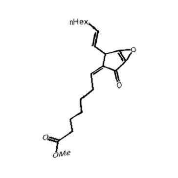 CCCCCCC=CC1C(=CCCCCCC(=O)OC)C(=O)C2=C1O2